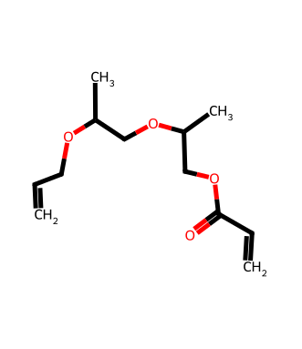 C=CCOC(C)COC(C)COC(=O)C=C